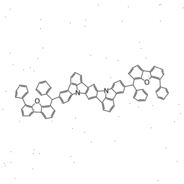 c1ccc(-c2cccc3c2oc2c(C(c4ccccc4)c4ccc5c(c4)c4cccc6c7cc8c(cc7n5c46)c4cccc5c6cc(C(c7ccccc7)c7cccc9c7oc7c(-c%10ccccc%10)cccc79)ccc6n8c54)cccc23)cc1